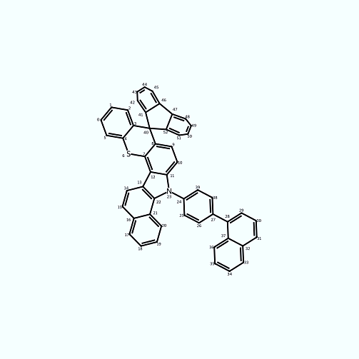 c1ccc2c(c1)Sc1c(ccc3c1c1ccc4ccccc4c1n3-c1ccc(-c3cccc4ccccc34)cc1)C21c2ccccc2-c2ccccc21